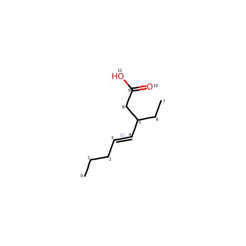 CCC/C=C/C(CC)CC(=O)O